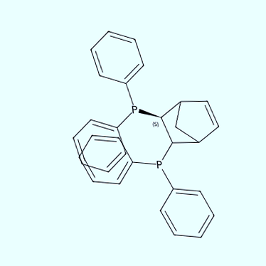 C1=CC2CC1C(P(c1ccccc1)c1ccccc1)[C@H]2P(c1ccccc1)c1ccccc1